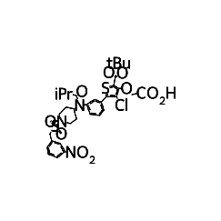 CC(C)C(=O)N(c1cccc(-c2sc(C(=O)OC(C)(C)C)c(OCC(=O)O)c2Cl)c1)C1CCN(S(=O)(=O)Cc2cccc([N+](=O)[O-])c2)CC1